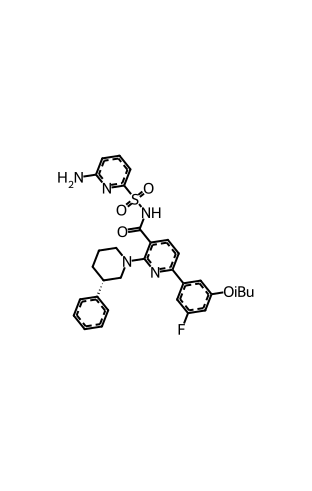 CC(C)COc1cc(F)cc(-c2ccc(C(=O)NS(=O)(=O)c3cccc(N)n3)c(N3CCC[C@@H](c4ccccc4)C3)n2)c1